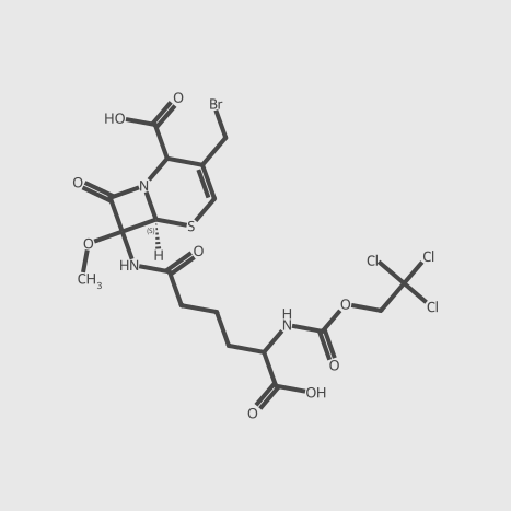 COC1(NC(=O)CCCC(NC(=O)OCC(Cl)(Cl)Cl)C(=O)O)C(=O)N2C(C(=O)O)C(CBr)=CS[C@H]21